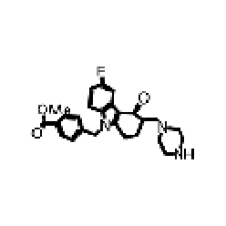 COC(=O)c1ccc(Cn2c3c(c4cc(F)ccc42)C(=O)C(CN2CCNCC2)CC3)cc1